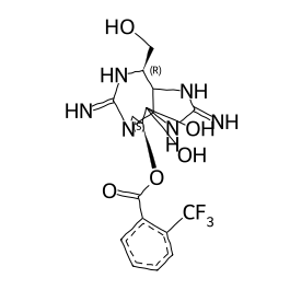 N=C1NC2[C@H](CO)NC(=N)N3C[C@H](OC(=O)c4ccccc4C(F)(F)F)C(O)(O)C23N1